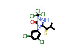 CC(C)C(=S)C1NN(C(Cl)(Cl)Cl)C(=O)N1c1cc(Cl)cc(Cl)c1